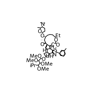 CC[C@H]1CCC[C@H](O[C@H]2CC[C@H](N(C)C)C(C)O2)[C@@H](C)C(=O)C2=C[C@@H]3C(c4sc(-c5cccc(C)c5)nc4[C@@H]4C[C@@H](OC(OC)C(OC)C(OC)C(OC)C(C)C)C[C@@H]34)[C@@H]2CC(=O)O1